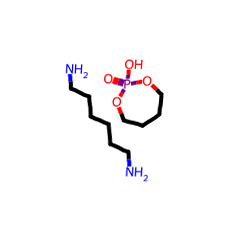 NCCCCCCN.O=P1(O)OCCCCO1